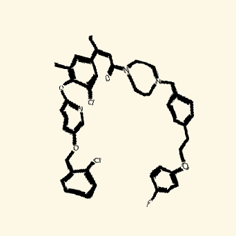 CC(=CC(=O)N1CCN(Cc2ccc(CCOc3ccc(F)cc3)cc2)CC1)c1cc(C)c(Oc2ccc(OCc3ccccc3Cl)cn2)c(Cl)c1